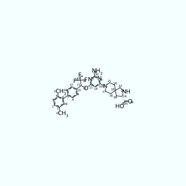 Cc1ccc(C)c(-c2ccc(C(Oc3cc(N4CCC5(CC4)CN[C@H](C(=O)O)C5)nc(N)n3)C(F)(F)F)cc2)c1